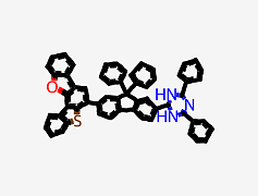 c1ccc(C2=NC(c3ccccc3)NC(c3ccc4c(c3)C(c3ccccc3)(c3ccccc3)c3cc(-c5cc6c7ccccc7oc6c6c5sc5ccccc56)ccc3-4)N2)cc1